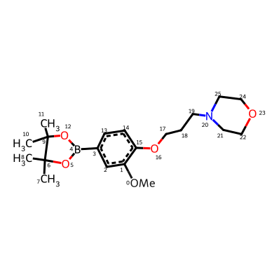 COc1cc(B2OC(C)(C)C(C)(C)O2)ccc1OCCCN1CCOCC1